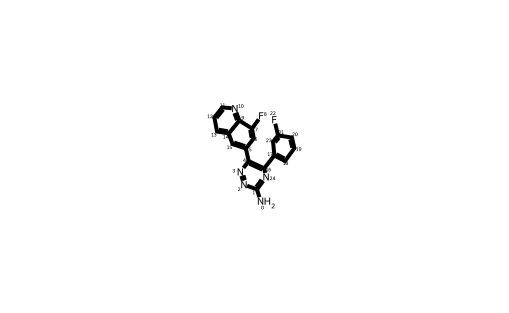 Nc1nnc(-c2cc(F)c3ncccc3c2)c(-c2cccc(F)c2)n1